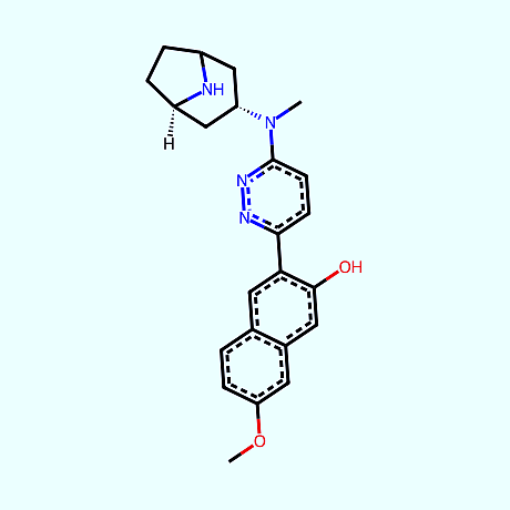 COc1ccc2cc(-c3ccc(N(C)[C@H]4CC5CC[C@H](C4)N5)nn3)c(O)cc2c1